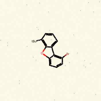 CC(C)(C)c1cccc2c1oc1cccc(Br)c12